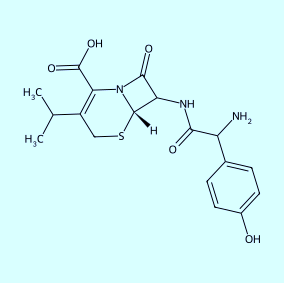 CC(C)C1=C(C(=O)O)N2C(=O)C(NC(=O)C(N)c3ccc(O)cc3)[C@@H]2SC1